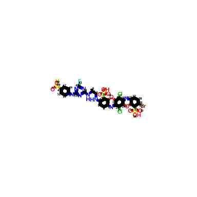 CC(CNc1ccc2c(c1S(=O)(=O)O)Oc1c(Cl)c3c(c(Cl)c1=N2)Oc1c(ccc(Br)c1S(=O)(=O)O)N=3)Nc1nc(F)nc(Nc2ccc([SH](=O)=O)cc2)n1